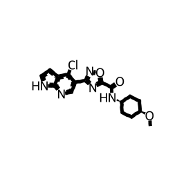 CO[C@H]1CC[C@H](NC(=O)c2nc(-c3cnc4[nH]ccc4c3Cl)no2)CC1